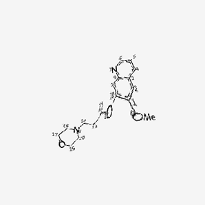 COc1cc2[c]ccnc2cc1OCCCN1CCOCC1